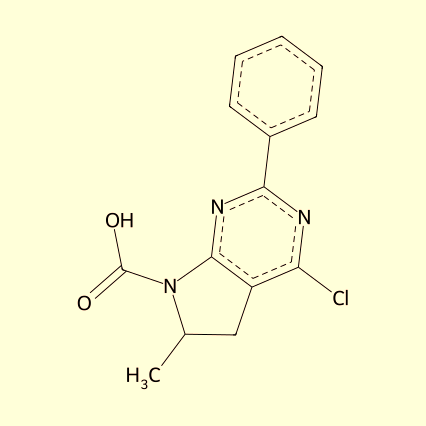 CC1Cc2c(Cl)nc(-c3ccccc3)nc2N1C(=O)O